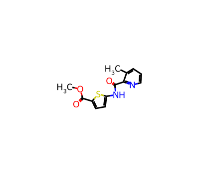 COC(=O)c1ccc(NC(=O)c2ncccc2C)s1